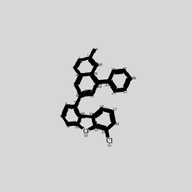 Cc1ccc2cc(-c3cccc4oc5c(Cl)cccc5c34)cc(-c3ccccc3)c2c1